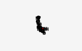 C[C@]12CC[C@H]3[C@@H](CCC4=CC(=O)CC(O)(O)[C@@]43C)[C@@H]1CC[C@H]2C(=O)CN1CCN(c2ccccn2)CC1